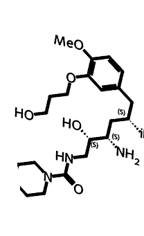 COc1ccc(C[C@@H](C[C@H](N)[C@@H](O)CNC(=O)N2CCCCC2)C(C)C)cc1OCCCO